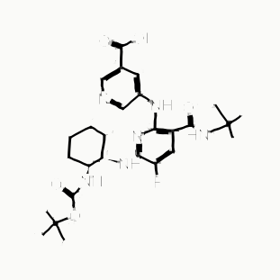 CC(C)(C)NC(=O)c1cc(F)c(N[C@@H]2CCCC[C@@H]2NC(=O)OC(C)(C)C)nc1Nc1cncc(C(=O)O)c1